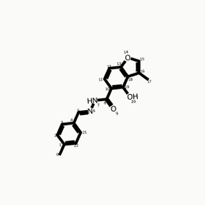 Cc1ccc(C=NNC(=O)c2ccc3occ(C)c3c2O)cc1